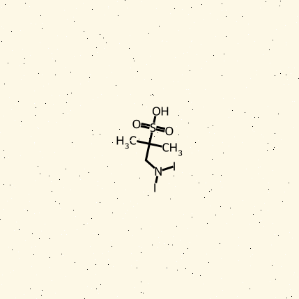 CC(C)(CN(I)I)S(=O)(=O)O